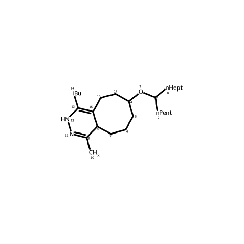 CCCCCCCC(CCCCC)OC1CCCC2C(C)=NNC(C(C)CC)=C2CC1